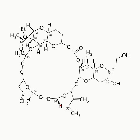 C=C1C2CC3OC4C[C@@H](O)[C@@H](CCO)O[C@H]4[C@H](C)[C@H]3OC(=O)CC3CC[C@@H]4O[C@@H]5[C@@H](OCC)[C@@H](O[C@](C)(CCC6CC(=C)[C@H](CC[C@@H](C[C@H]1C)O2)O6)O[C@H]5C)[C@H]4O3